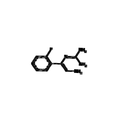 N/C=C(\N=C(N)N)c1ccccc1F